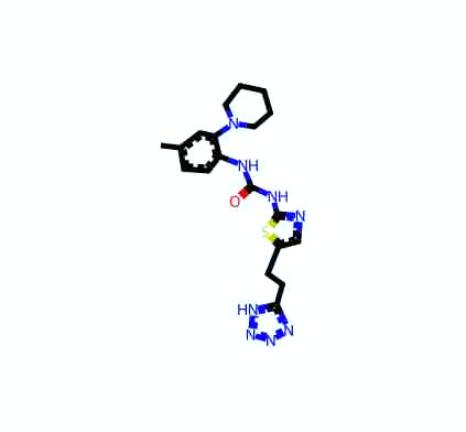 Cc1ccc(NC(=O)Nc2ncc(CCc3nnn[nH]3)s2)c(N2CCCCC2)c1